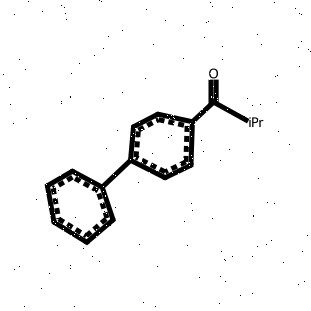 CC(C)C(=O)c1ccc(-c2ccccc2)cc1